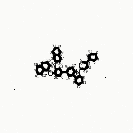 c1ccc(-c2ccc(-n3c4ccccc4c4cc(-c5ccc6c(c5)N(c5ccc7ccccc7c5)c5ccc7ccccc7c5O6)ccc43)cc2)cc1